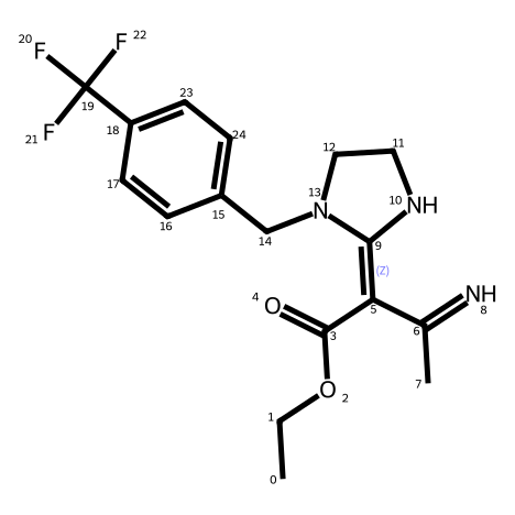 CCOC(=O)/C(C(C)=N)=C1/NCCN1Cc1ccc(C(F)(F)F)cc1